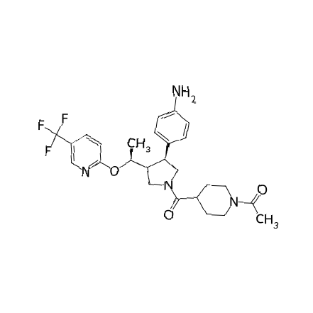 CC(=O)N1CCC(C(=O)N2CC([C@H](C)Oc3ccc(C(F)(F)F)cn3)[C@@H](c3ccc(N)cc3)C2)CC1